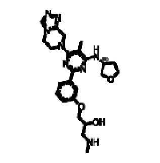 CNCC(O)COc1cccc(-c2nc(N[C@@H]3CCOC3)c(C)c(N3CCn4cnnc4C3)n2)c1